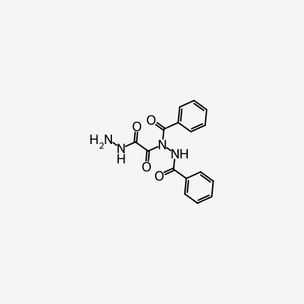 NNC(=O)C(=O)N(NC(=O)c1ccccc1)C(=O)c1ccccc1